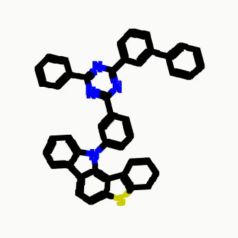 C1=Cc2c(sc3ccc4c5ccccc5n(-c5cccc(-c6nc(-c7ccccc7)nc(-c7cccc(-c8ccccc8)c7)n6)c5)c4c23)CC1